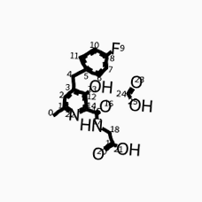 Cc1cc(Cc2ccc(F)cc2)c(O)c(C(=O)NCC(=O)O)n1.O=CO